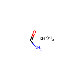 NC=O.[KH].[SrH2]